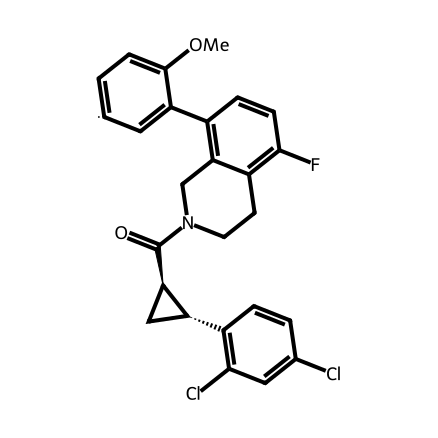 COc1cc[c]cc1-c1ccc(F)c2c1CN(C(=O)[C@@H]1C[C@H]1c1ccc(Cl)cc1Cl)CC2